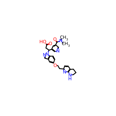 CN(C)C(=O)c1cncc(C(CC(=O)O)n2ncc3cc(OCCc4ccc5c(n4)NCCC5)ccc32)c1